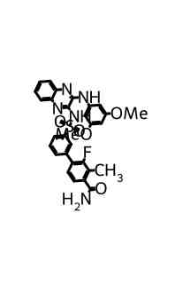 COc1cc(Nc2nc3ccccc3nc2NS(=O)(=O)c2cccc(-c3ccc(C(N)=O)c(C)c3F)c2)cc(OC)c1